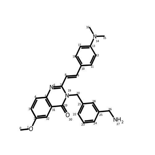 COc1ccc2nc(C=Cc3ccc(N(C)C)cc3)n(Cc3cccc(CN)c3)c(=O)c2c1